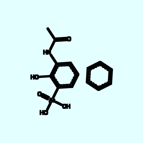 CC(=O)Nc1cccc([As](=O)(O)O)c1O.c1ccccc1